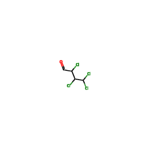 O=CC(Cl)C(Cl)C(Cl)Cl